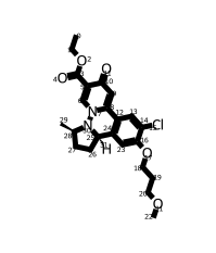 CCOC(=O)c1cn2c(cc1=O)-c1cc(Cl)c(OCCCOC)cc1[C@H]1CC[C@@H](C)N12